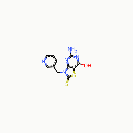 Nc1nc(O)c2sc(=S)n(Cc3cccnc3)c2n1